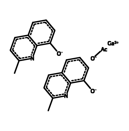 CC(=O)[O-].Cc1ccc2cccc([O-])c2n1.Cc1ccc2cccc([O-])c2n1.[Ga+3]